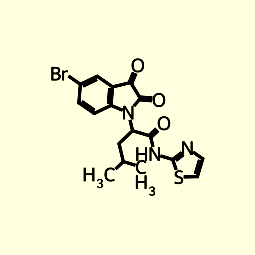 CC(C)CC(C(=O)Nc1nccs1)N1C(=O)C(=O)c2cc(Br)ccc21